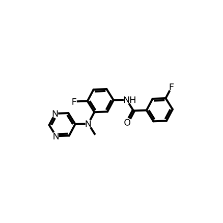 CN(c1cncnc1)c1cc(NC(=O)c2cccc(F)c2)ccc1F